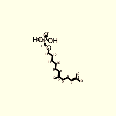 CC(C)=CCCC(C)=CCCCCCOCP(=O)(O)O